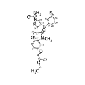 CCOC(=O)COc1ccc2c(c1)N(C)C(=O)[C@@H](c1nn(C(N)=O)cc1Cc1cccc(F)c1)CO2